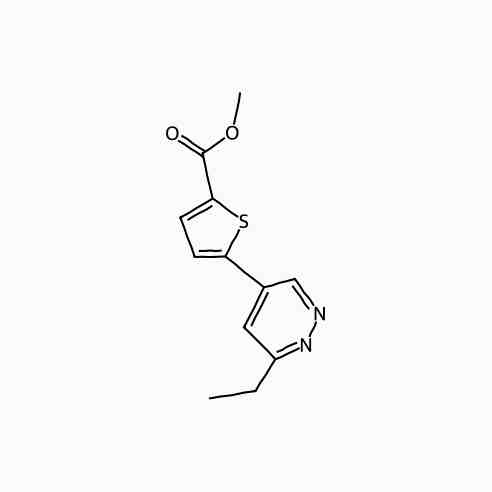 CCc1cc(-c2ccc(C(=O)OC)s2)cnn1